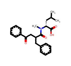 CC(C)C[C@H](C(=O)O)N(C)C(=O)C(CC(=O)c1ccccc1)Cc1ccccc1